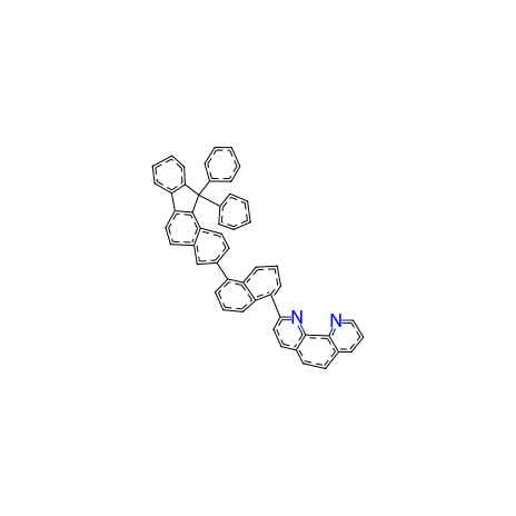 c1ccc(C2(c3ccccc3)c3ccccc3-c3ccc4cc(-c5cccc6c(-c7ccc8ccc9cccnc9c8n7)cccc56)ccc4c32)cc1